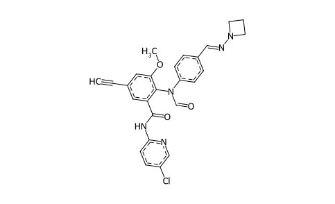 C#Cc1cc(OC)c(N(C=O)c2ccc(C=NN3CCC3)cc2)c(C(=O)Nc2ccc(Cl)cn2)c1